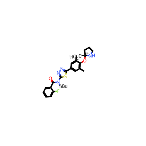 CCCCN(C(=O)c1ccccc1F)c1nnc(-c2cc(C)c(O[C@]3(C(=O)O)CCCN3)c(C)c2)s1